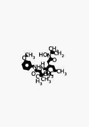 C=C(C)N(O)C(=O)C[C@@H](CC(C)C)C(=O)N[C@H](C(=O)Nc1cccc(OC)c1)C(C)(C)C